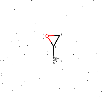 [SiH3]C1CO1